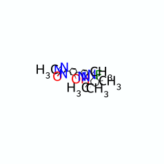 CC[C@]1(C)CC[C@H](C)[C@H](F)[C@H](N(C)c2ccc(-c3ccc(-c4ncn(C)c(=O)n4)cc3O)nn2)C1